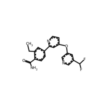 CCc1cc(-c2cc(Oc3cncc(C(F)F)c3)ccn2)ccc1C(N)=O